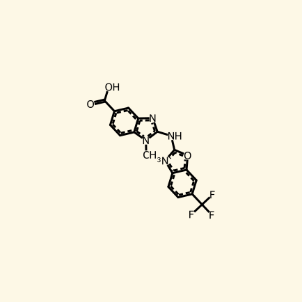 Cn1c(Nc2nc3ccc(C(F)(F)F)cc3o2)nc2cc(C(=O)O)ccc21